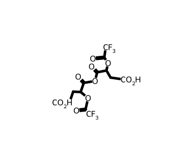 O=C(O)CC(OC(=O)C(F)(F)F)C(=O)OC(=O)C(CC(=O)O)OC(=O)C(F)(F)F